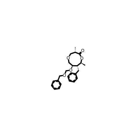 C[C@@H]1OC(=O)[C@@H](C)COC[C@H](OCOCc2ccccc2)[C@H]1Cc1ccccc1